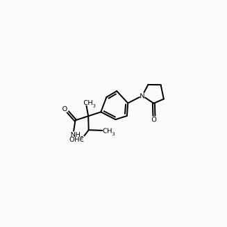 CC(C=O)C(C)(C(N)=O)c1ccc(N2CCCC2=O)cc1